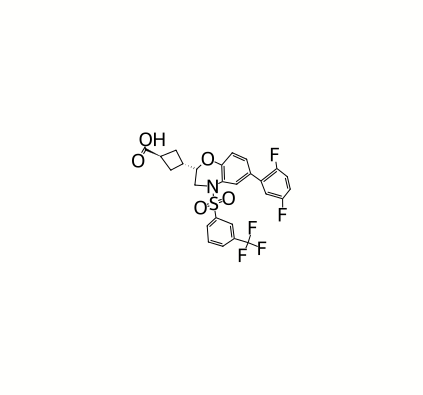 O=C(O)[C@H]1C[C@H](C2CN(S(=O)(=O)c3cccc(C(F)(F)F)c3)c3cc(-c4cc(F)ccc4F)ccc3O2)C1